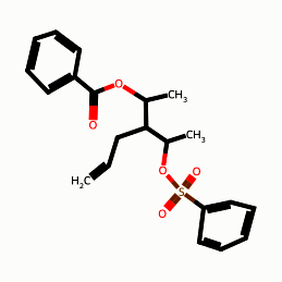 C=CCC(C(C)OC(=O)c1ccccc1)C(C)OS(=O)(=O)c1ccccc1